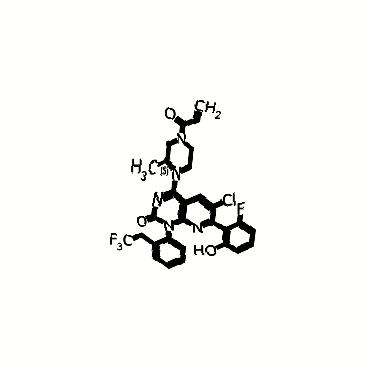 C=CC(=O)N1CCN(c2nc(=O)n(-c3ccccc3CC(F)(F)F)c3nc(-c4c(O)cccc4F)c(Cl)cc23)[C@@H](C)C1